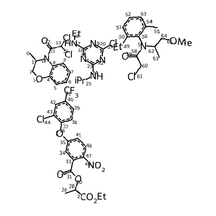 CC1COc2ccccc2N1C(=O)C(Cl)Cl.CCNc1nc(Cl)nc(NC(C)C)n1.CCOC(=O)C(C)OC(=O)c1cc(Oc2ccc(C(F)(F)F)cc2Cl)ccc1[N+](=O)[O-].CCc1cccc(C)c1N(C(=O)CCl)C(C)COC